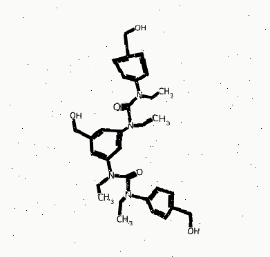 CCN(C(=O)N(CC)c1cc(CO)cc(N(CC)C(=O)N(CC)c2ccc(CO)cc2)c1)c1ccc(CO)cc1